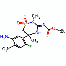 CN1/C(=N/C(=O)OC(C)(C)C)N[C@](C)(c2cc(N)c([N+](=O)[O-])cc2F)CS1(=O)=O